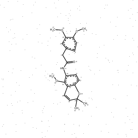 COc1ccc(CC(=O)Nc2ccc3c(c2OC)C=CC(C)(C)O3)cc1OC